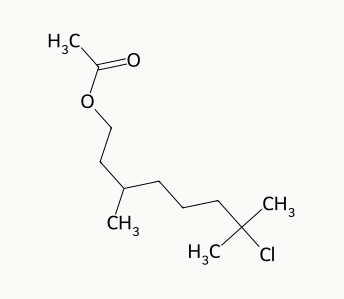 CC(=O)OCCC(C)CCCC(C)(C)Cl